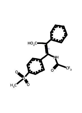 CS(=O)(=O)c1ccc(/C(NC(=O)C(F)(F)F)=C(\C(=O)O)c2ccccc2)cc1